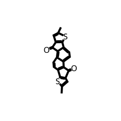 Cc1cc2c(=O)c3c4ccc5c6sc(C)cc6c(=O)c5c4ccc3c2s1